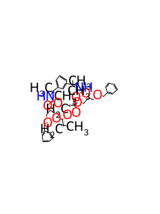 C=CC(=O)OCC(COCc1ccccc1)OC(=O)NC(C)(C)c1cccc(C(C)(C)NC(=O)OC(COCc2ccccc2)COC(=O)C(=C)C)c1